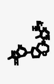 Cc1nc2ncc(-c3ccc4c(c3)CN(c3ncnc(NC(C)C)c3C)CCO4)cc2[nH]1